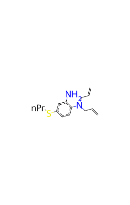 C=CCN(CC=C)c1ccc(SCCC)cc1N